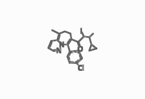 CC1=C2C=CC=NN2C(c2ccc(Cl)cc2)=C(C(=O)C(I)C(C)C2CC2)CC1